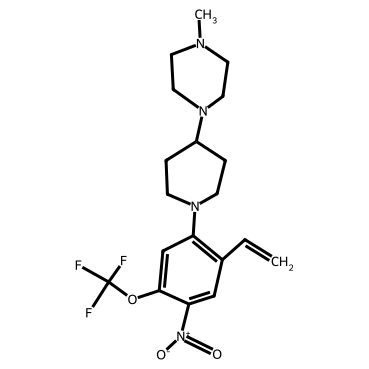 C=Cc1cc([N+](=O)[O-])c(OC(F)(F)F)cc1N1CCC(N2CCN(C)CC2)CC1